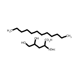 CCCCCCCCCCC(CC(O)CO)C(=O)O.CCCCCCCCCCCC